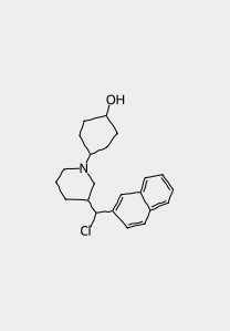 OC1CCC(N2CCCC(C(Cl)c3ccc4ccccc4c3)C2)CC1